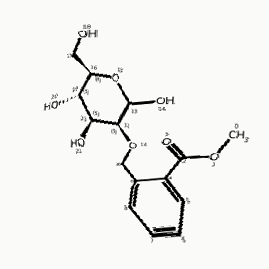 COC(=O)c1ccccc1CO[C@@H]1C(O)O[C@H](CO)[C@@H](O)[C@@H]1O